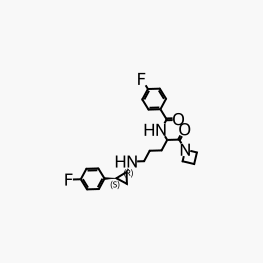 O=C(NC(CCCN[C@@H]1C[C@H]1c1ccc(F)cc1)C(=O)N1CCC1)c1ccc(F)cc1